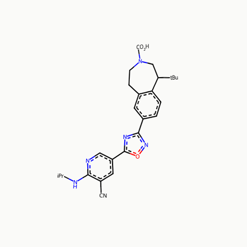 CC(C)Nc1ncc(-c2nc(-c3ccc4c(c3)CCN(C(=O)O)CC4C(C)(C)C)no2)cc1C#N